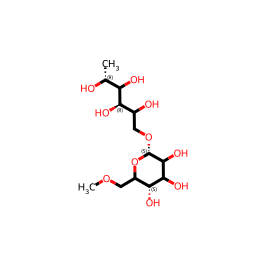 COCC1O[C@H](OCC(O)[C@@H](O)C(O)[C@@H](C)O)C(O)C(O)[C@@H]1O